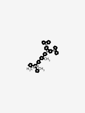 Cc1cc(-c2ccc(-c3cc(-c4ccccc4C)nc(-c4ccccc4C)n3)cc2)ccc1-c1ccc(-n2c3ccc(-n4c5ccccc5c5ccccc54)cc3c3cc(-n4c5ccccc5c5ccccc54)ccc32)cc1